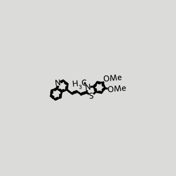 COc1cc2c(cc1OC)N(C)C(=CC=Cc1ccnc3ccccc13)S2